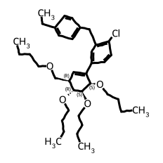 CCCCOC[C@H]1C=C(c2ccc(Cl)c(Cc3ccc(CC)cc3)c2)[C@H](OCCCC)[C@@H](OCCCC)[C@@H]1OCCCC